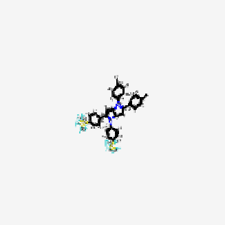 Cc1ccc(-c2cc3c(cc(-c4ccc(S(F)(F)(F)(F)F)cc4)n3-c3ccc(S(F)(F)(F)(F)F)cc3)n2-c2ccc(C)cc2)cc1